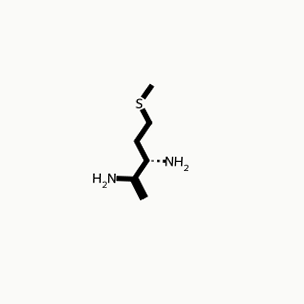 C=C(N)[C@@H](N)CCSC